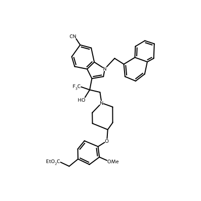 [C-]#[N+]c1ccc2c(C(O)(CN3CCC(Oc4ccc(CC(=O)OCC)cc4OC)CC3)C(F)(F)F)cn(Cc3cccc4ccccc34)c2c1